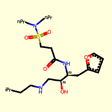 CCCN(CCC)S(=O)(=O)CCC(=O)N[C@@H](Cc1ccco1)[C@@H](O)CNCCC(C)C